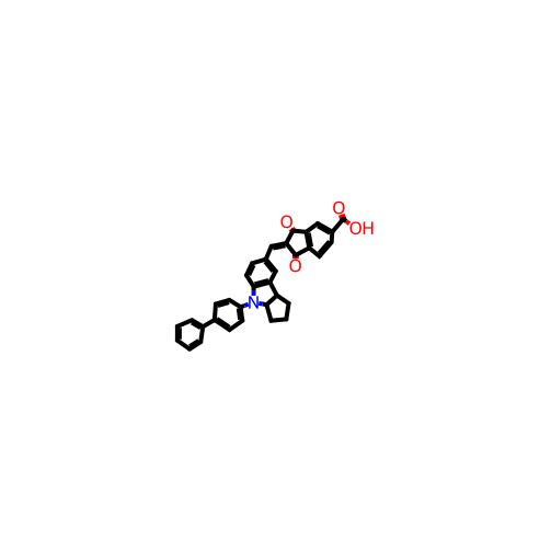 O=C(O)c1ccc2c(c1)C(=O)C(=Cc1ccc3c(c1)C1CCCC1N3c1ccc(-c3ccccc3)cc1)C2=O